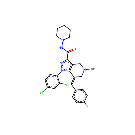 CC(=O)N1CC(=Cc2ccc(F)cc2)c2c(c(C(=O)NN3CCCCC3)nn2-c2ccc(Cl)cc2Cl)C1